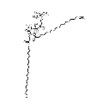 CCCCCCCCCCCCCCCCCCOC(=O)C(CNC(=O)C(C)C(C)(C)OC(C)(C)CCOC(C)(C)C)OC(=O)CCCCCCCCCCCCCCCCC